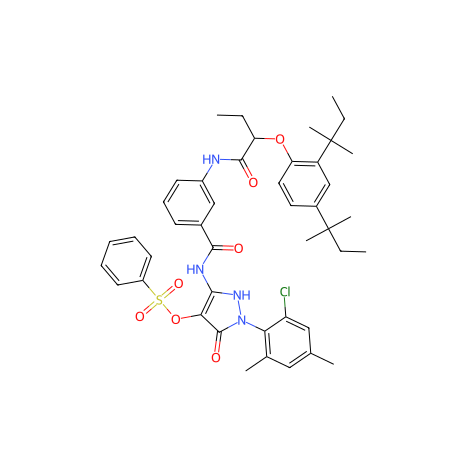 CCC(Oc1ccc(C(C)(C)CC)cc1C(C)(C)CC)C(=O)Nc1cccc(C(=O)Nc2[nH]n(-c3c(C)cc(C)cc3Cl)c(=O)c2OS(=O)(=O)c2ccccc2)c1